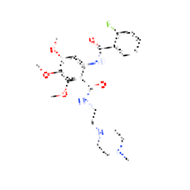 COc1cc(NC(=O)c2ccccc2F)c(C(=O)NCCN2CCN(C)CC2)c(OC)c1OC